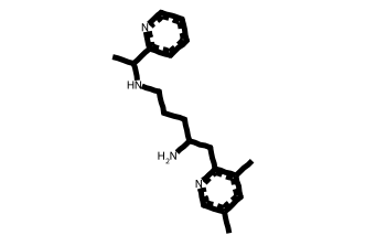 Cc1cnc(CC(N)CCCNC(C)c2ccccn2)c(C)c1